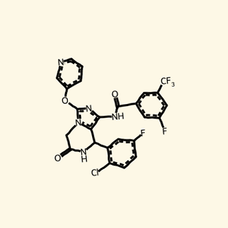 O=C1Cn2c(Oc3cccnc3)nc(NC(=O)c3cc(F)cc(C(F)(F)F)c3)c2C(c2cc(F)ccc2Cl)N1